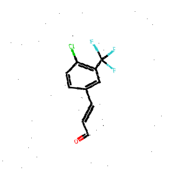 O=[C]C=Cc1ccc(Cl)c(C(F)(F)F)c1